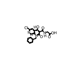 O=C(O)CNC(=O)c1c(O)c2cc(Cl)nnc2n(Cc2ccccc2)c1=O